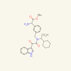 CC(C)(C)OC(=O)C(N)c1cccc(CN(C(=O)C(=O)c2c[nH]c3ccccc23)C(C(=O)O)C2CCCCC2)c1